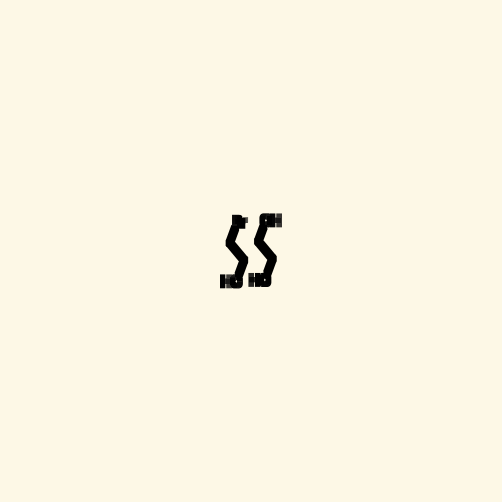 OCCBr.OCCO